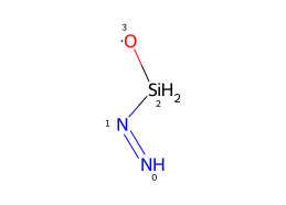 N=N[SiH2][O]